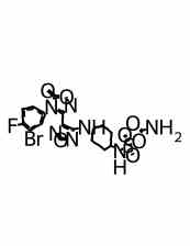 NC(=O)OS(=O)(=O)NC1CCC(Nc2nonc2-c2noc(=O)n2-c2ccc(F)c(Br)c2)CC1